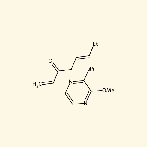 C=CC(=O)CC=CCC.COc1nccnc1C(C)C